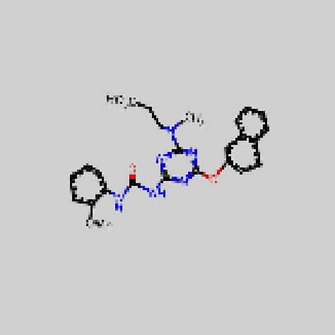 COc1ccccc1NC(=O)Nc1nc(Oc2ccc3ccccc3c2)nc(N(C)CCC(=O)O)n1